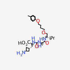 Cc1ccc(OCCCCOC[C@@H](NC(=O)[C@@H](C)NC(=O)N[C@@H](C[C@H]2C[C@H](N)C2)C(=O)O)C(C)C)cc1